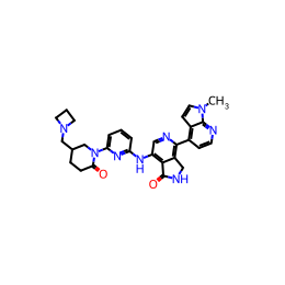 Cn1ccc2c(-c3ncc(Nc4cccc(N5CC(CN6CCC6)CCC5=O)n4)c4c3CNC4=O)ccnc21